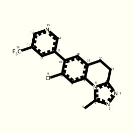 Cc1nnc2n1-c1cc(Cl)c(-c3cncc(C(F)(F)F)c3)cc1CC2